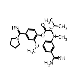 COc1cc(C(=N)N2CCCC2)ccc1OC(=O)[C@H](C(C)C)N(C)c1cccc(C(=N)N)c1